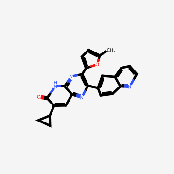 Cc1ccc(-c2nc3[nH]c(=O)c(C4CC4)cc3nc2-c2ccc3ncccc3c2)o1